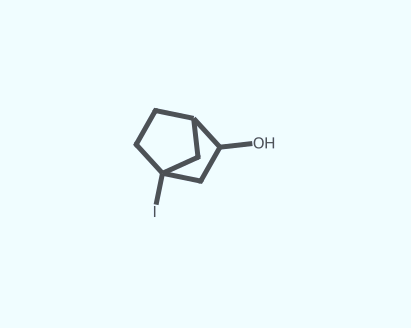 OC1CC2(I)CCC1C2